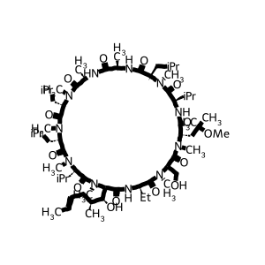 C/C=C/C[C@@H](C)[C@@H](O)C1C(=O)N[C@@H](CC)C(=O)N(C)C(CO)C(=O)N(C)[C@@H](CC(C)(C)OC)C(=O)N[C@H](C(C)C)C(=O)N(C)[C@H](CC(C)C)C(=O)N[C@H](C)C(=O)N[C@@H](C)C(=O)N(C)[C@@H](CC(C)C)C(=O)N(C)[C@@H](CC(C)C)C(=O)N(C)[C@@H](C(C)C)C(=O)N1C